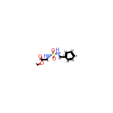 COC(=O)CNS(=O)(=O)NCc1ccccc1